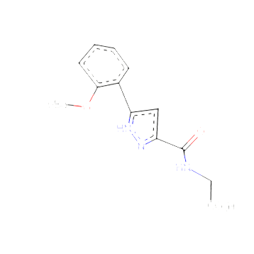 CCCCOc1ccccc1-c1cc(C(=O)NCC(=O)O)n[nH]1